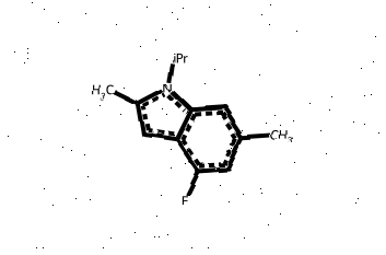 Cc1cc(F)c2cc(C)n(C(C)C)c2c1